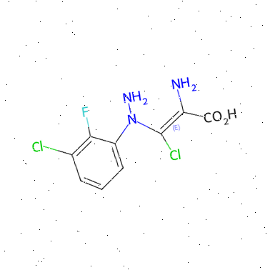 N/C(C(=O)O)=C(/Cl)N(N)c1cccc(Cl)c1F